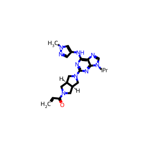 C=CC(=O)N1C[C@@H]2CN(c3nc(Nc4cnn(C)c4)c4ncn(C(C)C)c4n3)C[C@@H]2C1